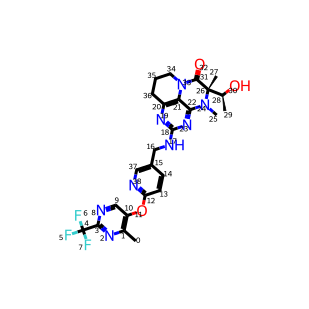 Cc1nc(C(F)(F)F)ncc1Oc1ccc(CNc2nc3c4c(n2)N(C)[C@@](C)([C@H](C)O)C(=O)N4CCC3)cn1